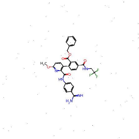 COc1ccc(-c2ccc(C(=O)NCC(F)(F)F)cc2C(=O)OCc2ccccc2)c(C(=O)Nc2ccc(C(=N)N)cc2)n1